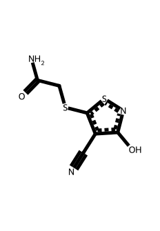 N#Cc1c(O)nsc1SCC(N)=O